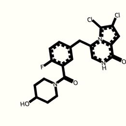 O=C(c1cc(Cc2c[nH]c(=O)c3cc(Cl)c(Cl)n23)ccc1F)N1CCC(O)CC1